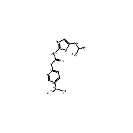 CCC(Nc1cnc(NC(=O)Cc2ccc(N(C)C)cc2)s1)OC(C)=O